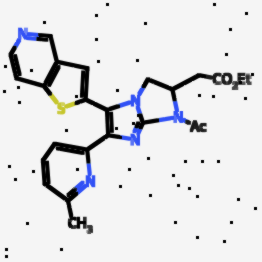 CCOC(=O)CC1Cn2c(nc(-c3cccc(C)n3)c2-c2cc3cnccc3s2)N1C(C)=O